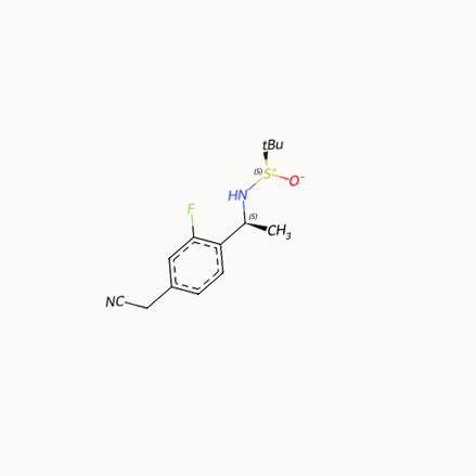 C[C@H](N[S@+]([O-])C(C)(C)C)c1ccc(CC#N)cc1F